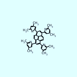 Cc1cc(C)nc(-c2cc(-c3cc(C)cc(C)n3)c3ccc4c(-c5cc(C)cc(C)n5)cc(-c5cc(C)cc(C)n5)c5ccc2c3c54)c1